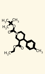 CCOC(=O)C1CN(C(=O)OC(C)(C)C)CCC1c1ccc(C)cc1